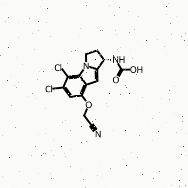 N#CCOc1cc(Cl)c(Cl)c2c1cc1n2CC[C@@H]1NC(=O)O